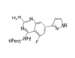 CCCCCNc1nc(N)nc2cc(-c3cc[nH]n3)cc(F)c12